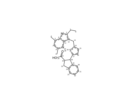 CCc1nc2c(C)cc(C)nc2n1Cc1ccc(C2c3ccccc3CC2C(=O)O)s1